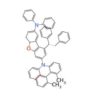 Cc1ccccc1-c1c(C)cccc1N(c1ccccc1)c1cc2c(c([C@@H](Cc3ccccc3)c3ccccc3)c1)C1=CC(N(c3ccccc3)c3ccccc3)=CCC1O2